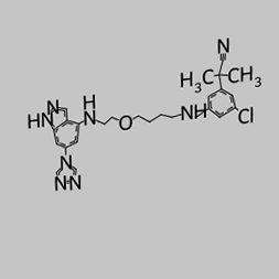 CC(C)(C#N)c1cc(Cl)cc(CNCCCCOCCNc2cc(-n3cnnc3)cc3[nH]ncc23)c1